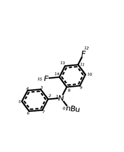 CCCCN(c1ccccc1)c1ccc(F)cc1F